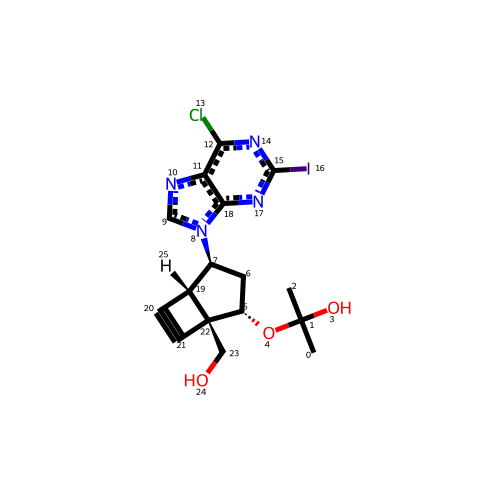 CC(C)(O)O[C@H]1C[C@H](n2cnc3c(Cl)nc(I)nc32)[C@H]2C#C[C@@]12CO